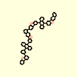 c1cc(-c2c3ccccc3c(-c3ccc4oc5cc6c(-c7ccc8c(c7)oc7ccc(-c9c%10ccccc%10c(-c%10ccc%11oc%12cc%13ccccc%13cc%12c%11c%10)c%10ccccc9%10)cc78)cccc6cc5c4c3)c3ccccc23)cc(-c2cccc3c2oc2ccccc23)c1